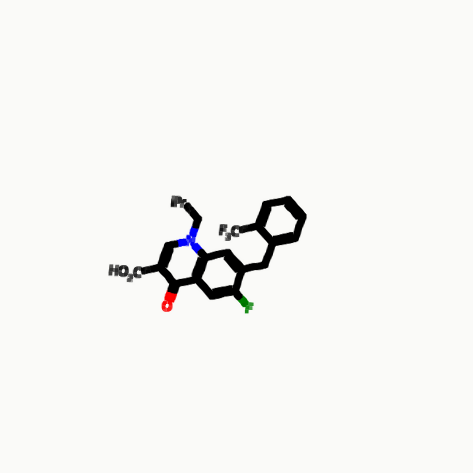 CC(C)Cn1cc(C(=O)O)c(=O)c2cc(F)c(Cc3ccccc3C(F)(F)F)cc21